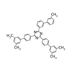 Cc1cccc(-c2cccc(-c3nc(-c4ccc(-c5cc(C)cc(C)c5)cc4)nc(-c4ccc(-c5cc(C)cc(C)c5)cc4)n3)c2)c1